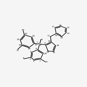 Cc1cc(C)cc([Si](C)(C2=C(Cc3ccccc3)C=CC2)c2cc(C)cc(C)c2)c1